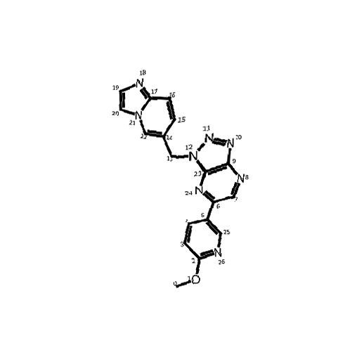 COc1ccc(-c2cnc3nnn(Cc4ccc5nccn5c4)c3n2)cn1